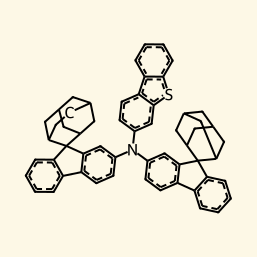 c1ccc2c(c1)-c1ccc(N(c3ccc4c(c3)C3(c5ccccc5-4)C4CC5CC(C4)CC3C5)c3ccc4c(c3)sc3ccccc34)cc1C21C2CCC3CC(C2)CC1C3